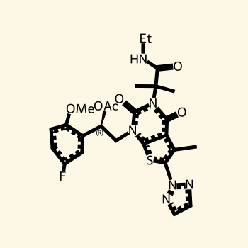 CCNC(=O)C(C)(C)n1c(=O)c2c(C)c(-n3nccn3)sc2n(C[C@H](OC(C)=O)c2cc(F)ccc2OC)c1=O